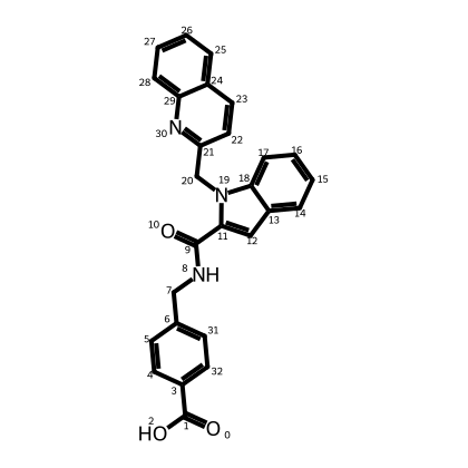 O=C(O)c1ccc(CNC(=O)c2cc3ccccc3n2Cc2ccc3ccccc3n2)cc1